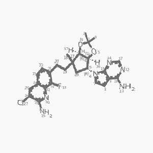 CC1(C)O[C@H]2[C@H](n3ccc4c(N)ncnc43)CC(C)(CCc3ccc4cc(Cl)c(N)nc4c3F)[C@H]2O1